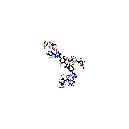 COC(=O)N[C@H](C(=O)N1CCC[C@H]1c1ncc(-c2cc(F)c3c(c2)OC(c2cnc(-c4ccc(C)o4)s2)n2c-3cc3cc(-c4cnc([C@@H]5CCCN5C(=O)[C@@H](NC(=O)OC)C(C)C)[nH]4)ccc32)[nH]1)C(C)C